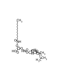 CCCCCCCCCCCCCCCC(=O)NCCOc1cc(OCCNC(=O)O[C@H]2CC[C@@]3(C)C(=CC[C@H]4[C@@H]5CC[C@H]([C@H](C)CCCC(C)C)[C@@]5(C)CC[C@@H]43)C2)cc(C(=O)O)c1